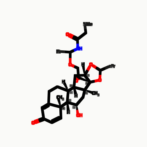 CCCC1O[C@@H]2C[C@H]3[C@@H]4CCC5=CC(=O)C=C[C@]5(C)[C@H]4[C@@H](O)C[C@]3(C)[C@]2(C(=O)COC(CC)NC(=O)CNC)O1